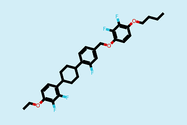 CCCCOc1ccc(OCc2ccc(C3CCC(c4ccc(OCC)c(F)c4F)CC3)c(F)c2)c(F)c1F